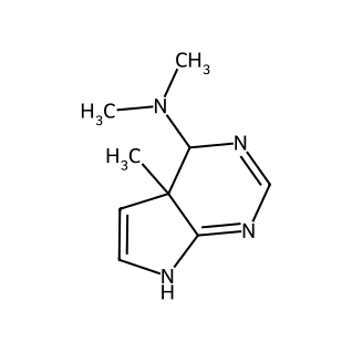 CN(C)C1N=CN=C2NC=CC21C